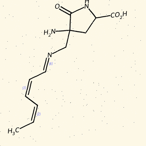 C\C=C/C=C\C=N\CC1(N)CC(C(=O)O)NC1=O